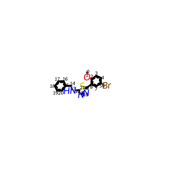 COc1ccc(Br)cc1-c1nnc(NCc2ccccc2)s1